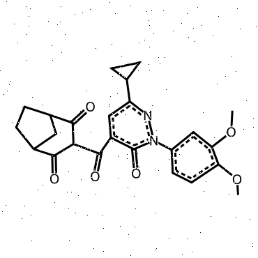 COc1ccc(-n2nc(C3CC3)cc(C(=O)C3C(=O)C4CCC(C4)C3=O)c2=O)cc1OC